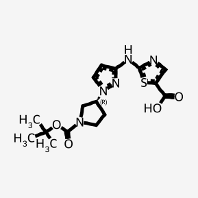 CC(C)(C)OC(=O)N1CC[C@@H](n2ccc(Nc3ncc(C(=O)O)s3)n2)C1